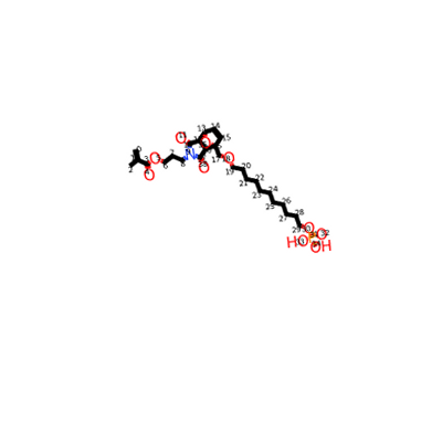 C=C(C)C(=O)OCCCN1C(=O)C2C3C=CC(COCCCCCCCCCCCOP(=O)(O)O)(O3)C2C1=O